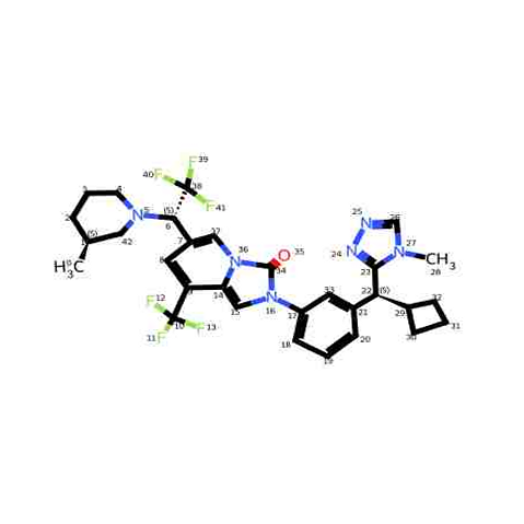 C[C@H]1CCCN([C@@H](c2cc(C(F)(F)F)c3cn(-c4cccc([C@@H](c5nncn5C)C5CCC5)c4)c(=O)n3c2)C(F)(F)F)C1